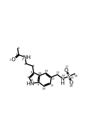 CC(=O)NCCc1c[nH]c2ccc(CNS(C)(=O)=O)cc12